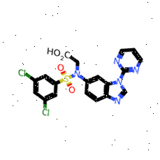 O=C(O)CN(c1ccc2ncn(-c3ncccn3)c2c1)S(=O)(=O)c1cc(Cl)cc(Cl)c1